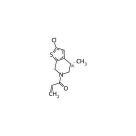 C=CC(=O)N1Cc2sc(Cl)cc2[C@H](C)C1